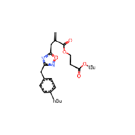 C=C(Cc1nc(Cc2ccc(CCCC)cc2)no1)C(=O)OCCC(=O)OC(C)(C)C